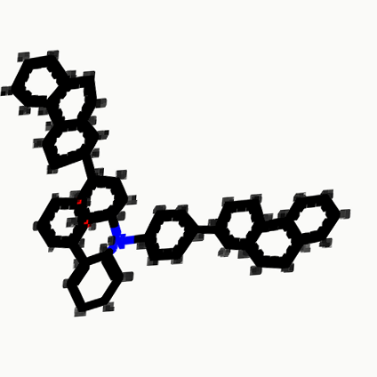 C1=C(c2ccccc2)C(N(c2ccc(-c3ccc4c(ccc5ccccc54)c3)cc2)c2ccc(-c3ccc4c(ccc5ccccc54)c3)cc2)=CCC1